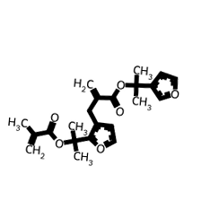 C=C(C)C(=O)OC(C)(C)c1occc1CC(=C)C(=O)OC(C)(C)c1ccoc1